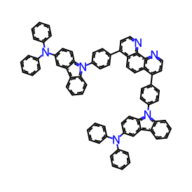 c1ccc(N(c2ccccc2)c2ccc3c(c2)c2ccccc2n3-c2ccc(-c3ccnc4c3ccc3c(-c5ccc(-n6c7ccccc7c7cc(N(c8ccccc8)c8ccccc8)ccc76)cc5)ccnc34)cc2)cc1